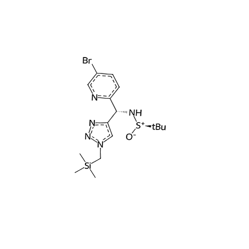 CC(C)(C)[S@@+]([O-])N[C@@H](c1ccc(Br)cn1)c1cn(C[Si](C)(C)C)nn1